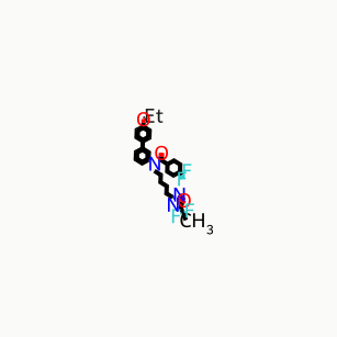 CCOc1ccc(-c2cccc(N(CCCCCc3noc(C(C)(F)F)n3)C(=O)C3CCC(F)(F)CC3)c2)cc1